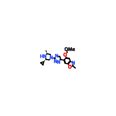 COCOc1cc2nc(C)oc2cc1-c1cnc(N2C[C@@H](C)N[C@@H](C3CC3)C2)nn1